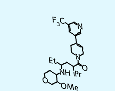 CCC(CC(C(=O)N1CC=C(c2cncc(C(F)(F)F)c2)CC1)C(C)C)NC1CCOCC1OC